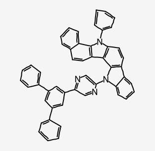 c1ccc(-c2cc(-c3ccccc3)cc(-c3cnc(-n4c5ccccc5c5ccc6c(c7ccc8ccccc8c7n6-c6ccccc6)c54)cn3)c2)cc1